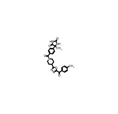 Cc1ccc(C(=O)c2nnc(C3CCN(C(=O)c4ccc(C5(C)NC(=O)NC5=O)cc4)CC3)o2)cc1